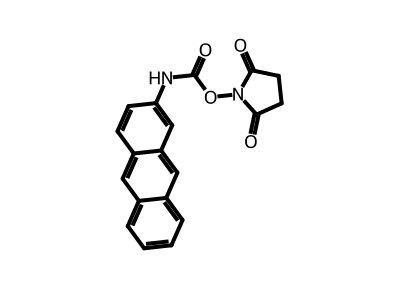 O=C(Nc1ccc2cc3ccccc3cc2c1)ON1C(=O)CCC1=O